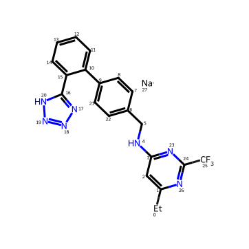 CCc1cc(NCc2ccc(-c3ccccc3-c3nnn[nH]3)cc2)nc(C(F)(F)F)n1.[Na]